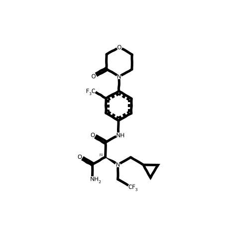 NC(=O)[C@@H](C(=O)Nc1ccc(N2CCOCC2=O)c(C(F)(F)F)c1)N(CC1CC1)CC(F)(F)F